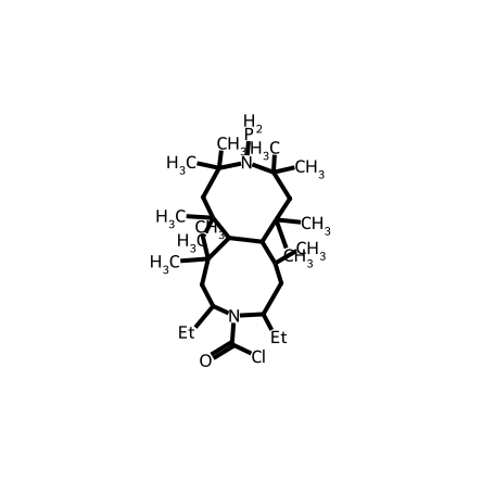 CCC1CC(C)C2C(C(C)(C)CC(CC)N1C(=O)Cl)C(C)(C)CC(C)(C)N(P)C(C)(C)CC2(C)C